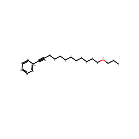 CCCOCCCCCCCCCCC#Cc1ccccc1